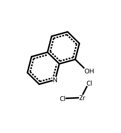 Oc1cccc2cccnc12.[Cl][Zr][Cl]